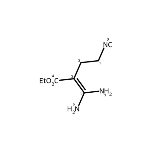 [C-]#[N+]CCC(C(=O)OCC)=C(N)N